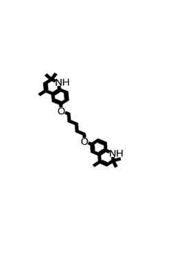 CC1=CC(C)(C)Nc2ccc(OCCCCCOc3ccc4c(c3)C(C)=CC(C)(C)N4)cc21